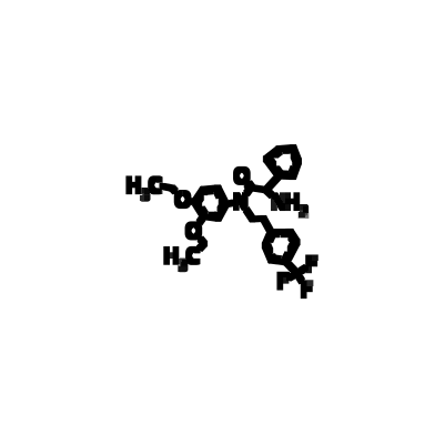 CCOc1ccc(N(CCc2ccc(C(F)(F)F)cc2)C(=O)C(N)c2ccccc2)cc1OCC